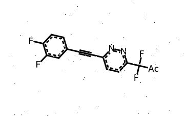 CC(=O)C(F)(F)c1ccc(C#Cc2ccc(F)c(F)c2)nn1